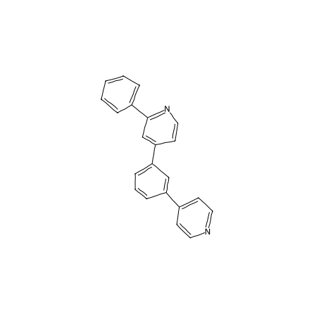 c1ccc(-c2cc(-c3cccc(-c4ccncc4)c3)ccn2)cc1